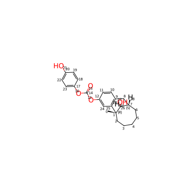 C[C@@]12CCCCC[C@@H](Cc3ccc(OC(=O)Oc4ccc(O)cc4)cc31)[C@@H]2O